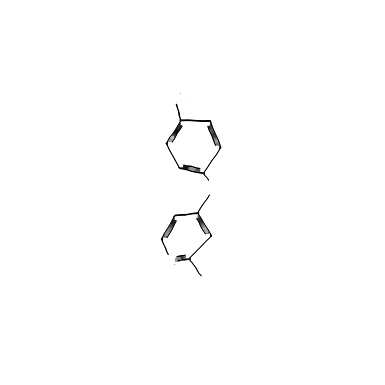 N#Cc1ccc(Oc2ccnc(C(F)(F)F)c2)cc1